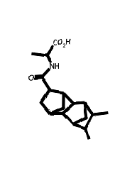 CC(NC(=O)C1CC2CC1C1C3CC(C(C)C3C)C21)C(=O)O